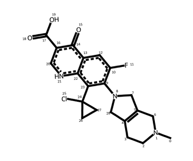 CN1CCC2=C(C1)CN(c1c(F)cc3c(=O)c(C(=O)O)c[nH]c3c1C1(Cl)CC1)C2